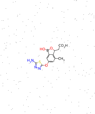 Cc1cc(Oc2nnc(N)s2)cc2c1C(CC(=O)O)OB2O